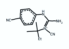 CCC(C)(C)[N+](C#N)=C(N)Nc1ccc(C#N)cc1